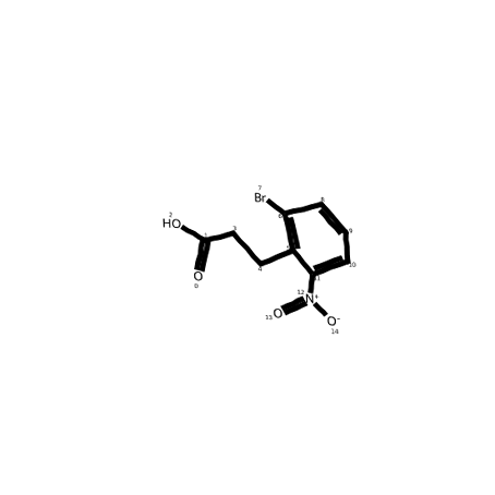 O=C(O)CCc1c(Br)cccc1[N+](=O)[O-]